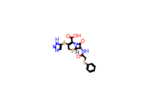 O=C(CSc1ccccc1)N[C@@H]1C(=O)N2C(C(=O)O)=C(Sc3cnn[nH]3)CS[C@@H]12